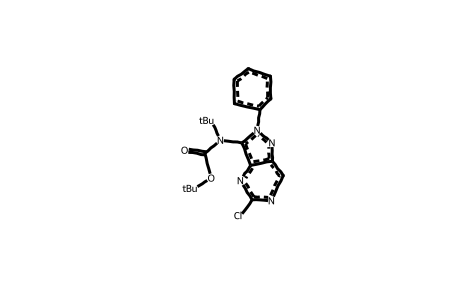 CC(C)(C)OC(=O)N(c1c2nc(Cl)ncc2nn1-c1ccccc1)C(C)(C)C